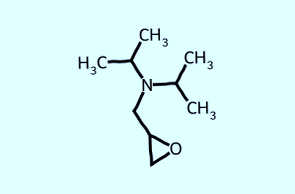 CC(C)N(CC1CO1)C(C)C